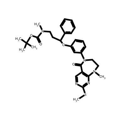 CSc1ncc2c(n1)N(C)CCN(c1cccc(OC(CCN(C)C(=O)OC(C)(C)C)c3ccccc3)c1)C2=O